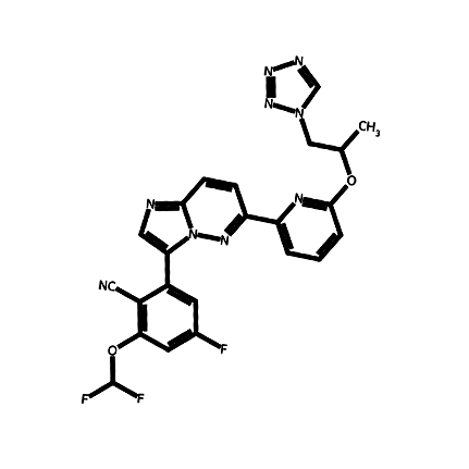 CC(Cn1cnnn1)Oc1cccc(-c2ccc3ncc(-c4cc(F)cc(OC(F)F)c4C#N)n3n2)n1